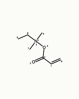 C=CC(=O)O[N+](C)(C)CC